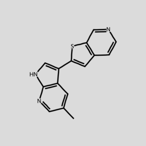 Cc1cnc2[nH]cc(-c3cc4ccncc4s3)c2c1